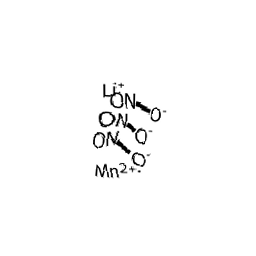 O=N[O-].O=N[O-].O=N[O-].[Li+].[Mn+2]